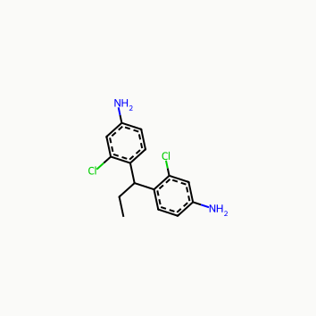 CCC(c1ccc(N)cc1Cl)c1ccc(N)cc1Cl